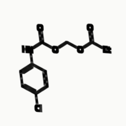 CCC(=O)OCOC(=O)Nc1ccc(Cl)cc1